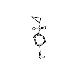 C#Cc1ccc(S(=O)(=O)C2CC2)cc1